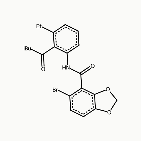 CCc1cccc(NC(=O)c2c(Br)ccc3c2OCO3)c1C(=O)C(C)CC